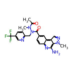 CC(=O)N(C)N(Cc1ccc(C(F)(F)F)cn1)C(=O)c1ccc2nc(N)c3c(cnn3C)c2c1